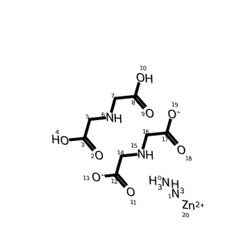 N.N.O=C(O)CNCC(=O)O.O=C([O-])CNCC(=O)[O-].[Zn+2]